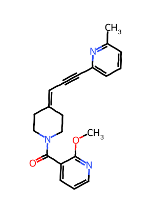 COc1ncccc1C(=O)N1CCC(=CC#Cc2cccc(C)n2)CC1